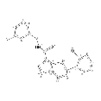 Cc1cccc(CNC(=O)c2c[nH]c3nnc(-c4ccccc4O)cc23)c1